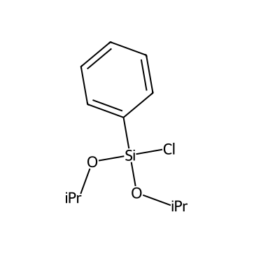 CC(C)O[Si](Cl)(OC(C)C)c1ccccc1